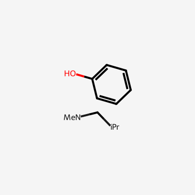 CNCC(C)C.Oc1ccccc1